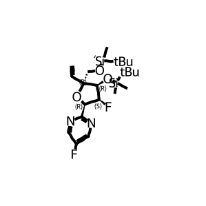 C=C[C@]1(CO[Si](C)(C)C(C)(C)C)O[C@H](c2ncc(F)cn2)[C@H](F)[C@@H]1O[Si](C)(C)C(C)(C)C